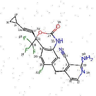 N#Cc1c(Cc2cc3c(cc2F)[C@](C#CC2CC2)(C(F)(F)F)OC(=O)N3)ccnc1N